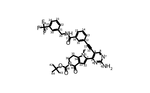 Cn1c(-c2nc(N)ncc2C#Cc2cccc(C(=O)NCc3cccc(C(F)(F)F)c3)c2)cc2c1CCN(C(=O)OC(C)(C)C)C2=O